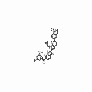 Cc1c(-c2cc3ccc(-c4ccc5c(c4)C=NC5=O)nc3n2CC2CC2)nn2cc(C(=O)N3C[C@H](N)C[C@@H](F)C3)ccc12